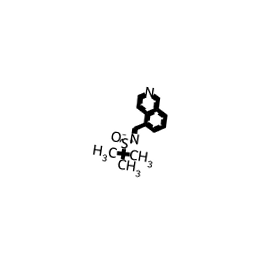 CC(C)(C)[S+]([O-])N=Cc1cccc2cnccc12